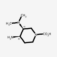 CN(C)[C@H]1CN(C(=O)O)CC[C@H]1N